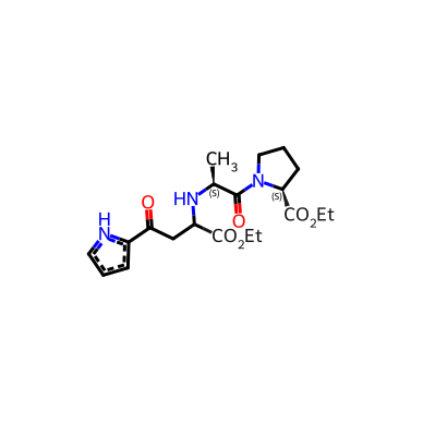 CCOC(=O)C(CC(=O)c1ccc[nH]1)N[C@@H](C)C(=O)N1CCC[C@H]1C(=O)OCC